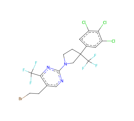 FC(F)(F)c1nc(N2CCC(c3cc(Cl)c(Cl)c(Cl)c3)(C(F)(F)F)C2)ncc1CCBr